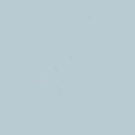 C#CC1CCN(c2nc(=O)n(-c3ccccc3Cl)c3cc(Cl)ccc23)CC1